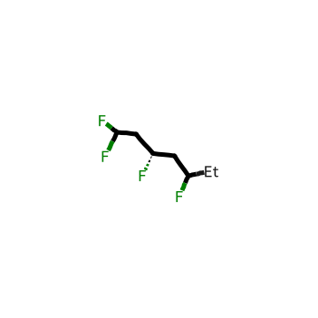 [CH2]CC(F)C[C@H](F)CC(F)F